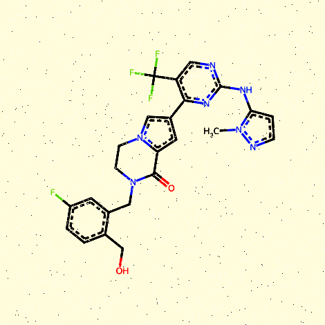 Cn1nccc1Nc1ncc(C(F)(F)F)c(-c2cc3n(c2)CCN(Cc2cc(F)ccc2CO)C3=O)n1